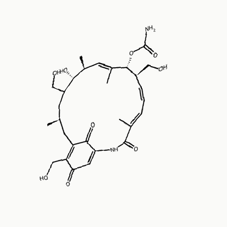 C/C1=C\C=C/[C@H](CO)[C@@H](OC(N)=O)/C(C)=C/[C@H](C)[C@@H](O)C(CO)C[C@H](C)CC2=C(CO)C(=O)C=C(NC1=O)C2=O